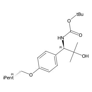 CCC[C@@H](C)COc1ccc([C@@H](NC(=O)OC(C)(C)C)C(C)(C)O)cc1